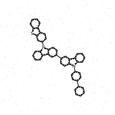 c1ccc(-c2ccc(-n3c4ccccc4c4cc(-c5ccc6c(c5)c5ccccc5n6-c5ccc6c(c5)sc5ccccc56)ccc43)cc2)cc1